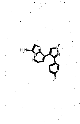 Cn1cc(-c2ccnn3c(N)cnc23)c(-c2ccc(F)cc2)n1